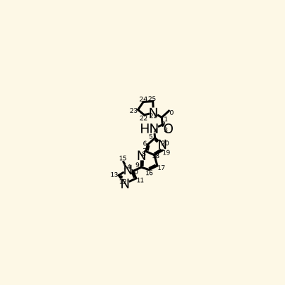 CC(C(=O)Nc1cc2nc(-c3cncn3C)ccc2cn1)N1CCCC1